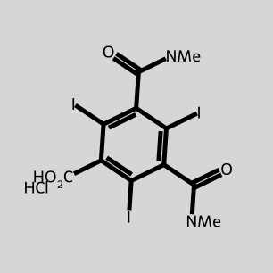 CNC(=O)c1c(I)c(C(=O)O)c(I)c(C(=O)NC)c1I.Cl